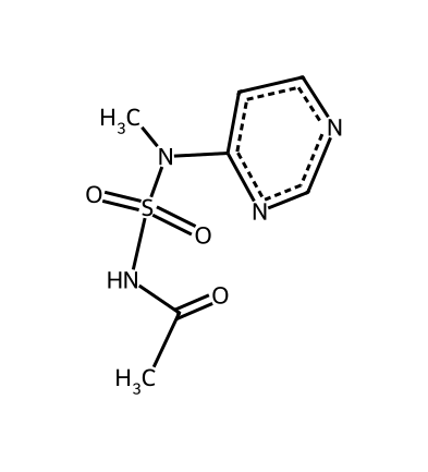 CC(=O)NS(=O)(=O)N(C)c1ccncn1